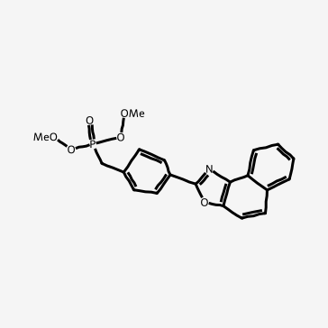 COOP(=O)(Cc1ccc(-c2nc3c(ccc4ccccc43)o2)cc1)OOC